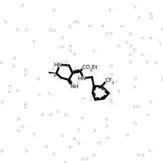 CCOC(=O)/C(NCc1ccccc1C(F)(F)F)=C1\CN[C@H](C)CC1=N